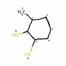 CC1CCCC(S)C1S